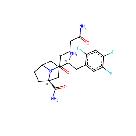 NC(=O)CC[CH]C(=O)N1C2CC[C@@]1(C(N)=O)CC([C@H](N)Cc1cc(F)c(F)cc1F)C2